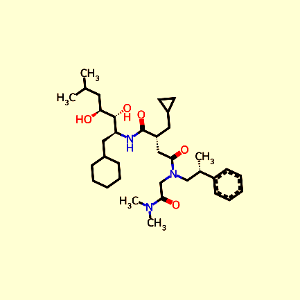 CC(C)C[C@H](O)[C@H](O)[C@H](CC1CCCCC1)NC(=O)[C@@H](CC(=O)N(CC(=O)N(C)C)C[C@H](C)c1ccccc1)CC1CC1